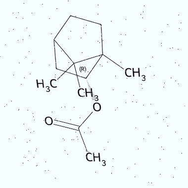 CC(=O)O[C@@H]1CC2CCC1(C)C2(C)C